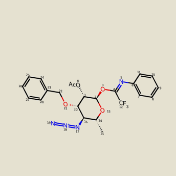 CC(=O)O[C@@H]1[C@@H](O/C(=N/c2ccccc2)C(F)(F)F)O[C@H](C)[C@@H](N=[N+]=[N-])[C@@H]1OCc1ccccc1